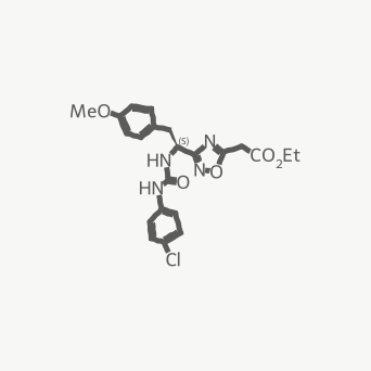 CCOC(=O)Cc1nc([C@H](Cc2ccc(OC)cc2)NC(=O)Nc2ccc(Cl)cc2)no1